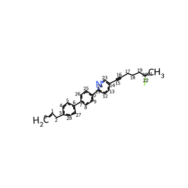 C=CCc1ccc(-c2ccc(-c3ccc(C#CCCCC(C)F)cn3)cc2)cc1